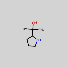 CC(C)C(C)(O)[C@@H]1CCCN1